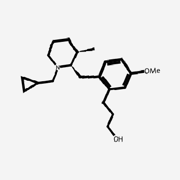 COc1ccc(C[C@@H]2[C@H](C)CCCN2CC2CC2)c(CCCO)c1